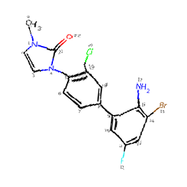 Cn1ccn(-c2ccc(-c3cc(F)cc(Br)c3N)cc2Cl)c1=O